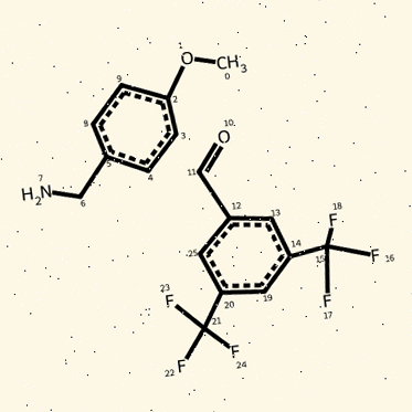 COc1ccc(CN)cc1.O=Cc1cc(C(F)(F)F)cc(C(F)(F)F)c1